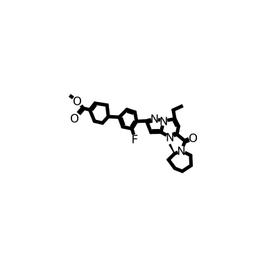 CCc1cc(C(=O)N2CCCCC[C@H]2C)nc2cc(-c3ccc(C4CC=C(C(=O)OC)CC4)cc3F)nn12